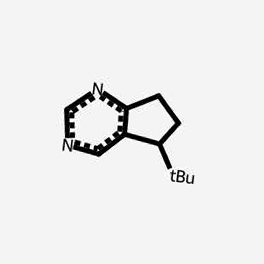 CC(C)(C)C1CCc2ncncc21